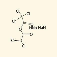 O=C(OC(=O)C(Cl)(Cl)Cl)C(Cl)Cl.[NaH].[NaH]